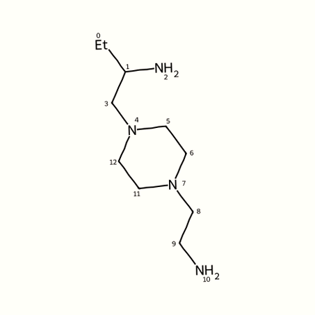 CCC(N)CN1CCN(CCN)CC1